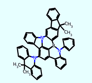 CC1(C)c2ccccc2-c2cc3c(cc21)B1c2c(cc(N4c5ccccc5C(C)(C)c5ccccc54)c4c5ccccc5n-3c24)-c2ccccc2N1c1ccccc1